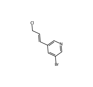 ClC/C=C/c1cncc(Br)c1